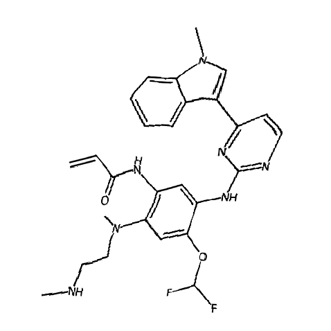 C=CC(=O)Nc1cc(Nc2nccc(-c3cn(C)c4ccccc34)n2)c(OC(F)F)cc1N(C)CCNC